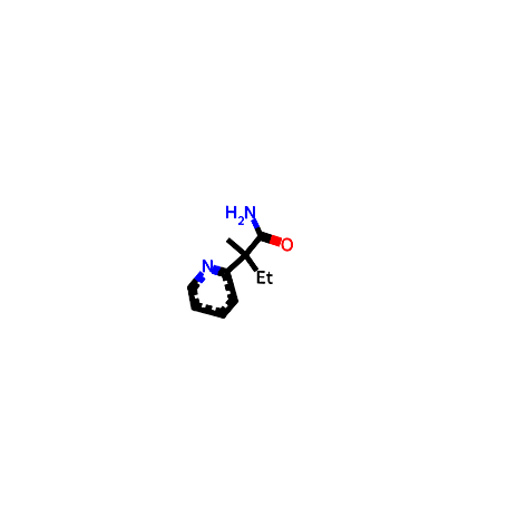 CCC(C)(C(N)=O)c1ccccn1